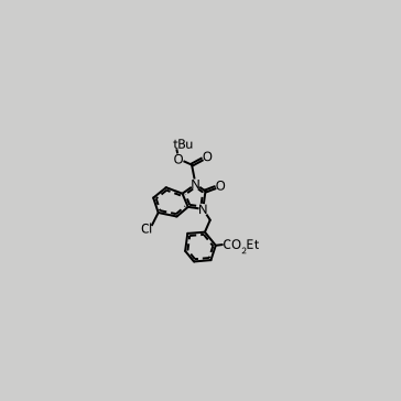 CCOC(=O)c1ccccc1Cn1c(=O)n(C(=O)OC(C)(C)C)c2ccc(Cl)cc21